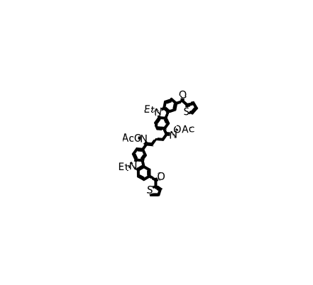 CCn1c2ccc(C(=O)c3cccs3)cc2c2cc(/C(CCC/C(=N/OC(C)=O)c3ccc4c(c3)c3cc(C(=O)c5cccs5)ccc3n4CC)=N\OC(C)=O)ccc21